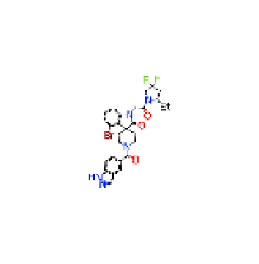 CC[C@@H]1CC(F)(F)CN1C(=O)CN1C(=O)C2(CCN(C(=O)c3ccc4[nH]ncc4c3)CC2)c2c(Br)cccc21